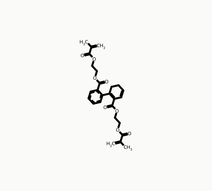 C=C(C)C(=O)OCCOC(=O)C1=C(c2ccccc2C(=O)OCCOC(=O)C(=C)C)CCC=C1